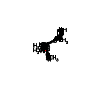 COc1cc(OCCCCCCCC(=O)N[C@H](C(=O)N2C[C@H](C)C[C@H]2C(=O)NCc2ccc(-c3scnc3C)cc2)C(C)(C)C)ccc1NC(=O)c1cccc(-c2ccn[nH]2)n1